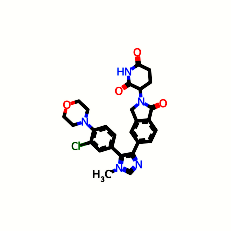 Cn1cnc(-c2ccc3c(c2)CN(C2CCC(=O)NC2=O)C3=O)c1-c1ccc(N2CCOCC2)c(Cl)c1